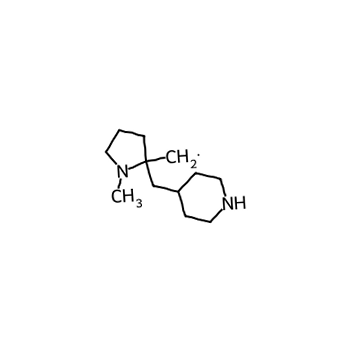 [CH2]C1(CC2CCNCC2)CCCN1C